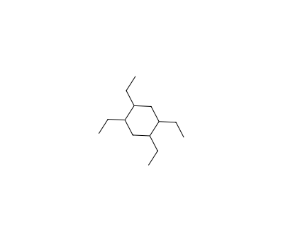 CCC1CC(CC)C(CC)CC1CC